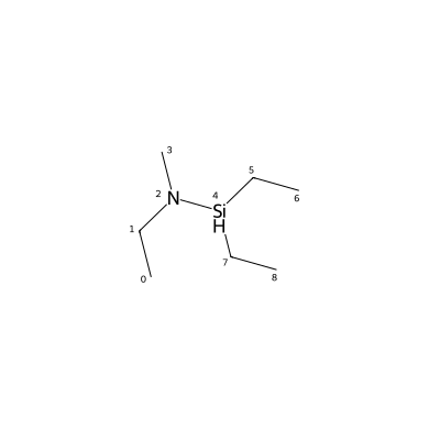 CCN(C)[SiH](CC)CC